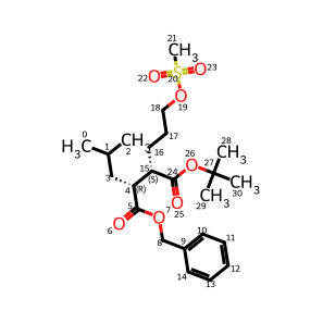 CC(C)C[C@@H](C(=O)OCc1ccccc1)[C@H](CCCOS(C)(=O)=O)C(=O)OC(C)(C)C